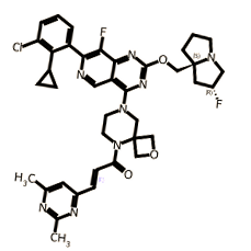 Cc1cc(/C=C/C(=O)N2CCN(c3nc(OC[C@@]45CCCN4C[C@H](F)C5)nc4c(F)c(-c5cccc(Cl)c5C5CC5)ncc34)CC23COC3)nc(C)n1